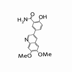 COc1cc2cc(-c3ccc(O)c(C(N)=O)c3)cnc2cc1OC